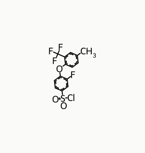 Cc1ccc(Oc2ccc(S(=O)(=O)Cl)cc2F)c(C(F)(F)F)c1